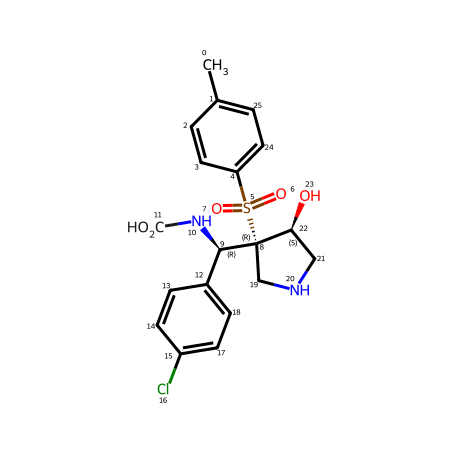 Cc1ccc(S(=O)(=O)[C@@]2([C@H](NC(=O)O)c3ccc(Cl)cc3)CNC[C@@H]2O)cc1